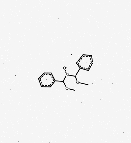 COC(c1ccccc1)[S+]([O-])C(OC)c1ccccc1